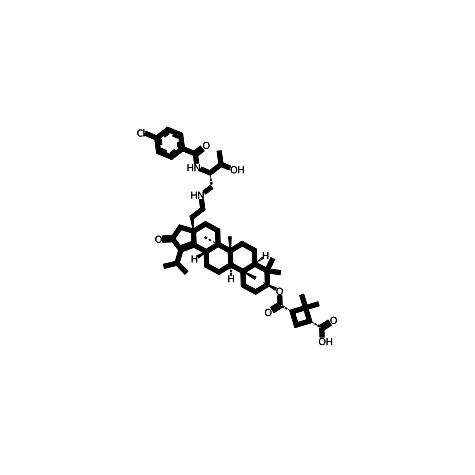 CC(C)C1=C2[C@H]3CC[C@@H]4[C@@]5(C)CC[C@H](OC(=O)[C@H]6C[C@@H](C(=O)O)C6(C)C)C(C)(C)[C@@H]5CC[C@@]4(C)[C@]3(C)CC[C@@]2(CCNC[C@H](NC(=O)c2ccc(Cl)cc2)C(C)O)CC1=O